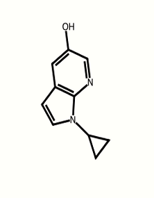 Oc1cnc2c(ccn2C2CC2)c1